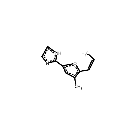 C/C=C\c1oc(-c2ncc[nH]2)cc1C